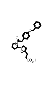 O=C(O)CCC1=CCN(C2CCCN2C(=O)Cc2ccc(OCc3ccccc3)cc2)O1